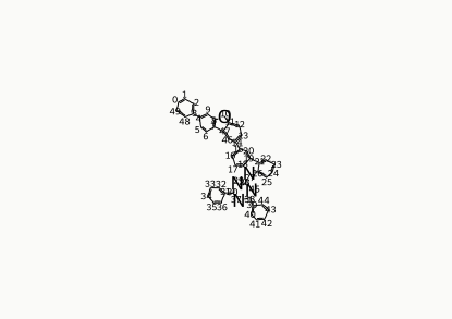 c1ccc(-c2ccc3c(c2)oc2ccc(-c4ccc5c(c4)c4ccccc4n5-c4nc(-c5ccccc5)nc(-c5ccccc5)n4)cc23)cc1